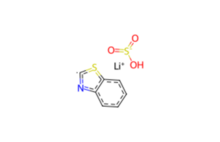 O=[S-](=O)O.[Li+].[c]1nc2ccccc2s1